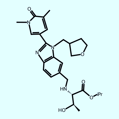 Cc1cc(-c2nc3ccc(CN[C@H](C(=O)OC(C)C)[C@@H](C)O)cc3n2CC2CCOC2)cn(C)c1=O